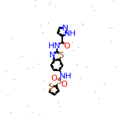 O=C(Nc1nc2ccc(NS(=O)(=O)c3cccs3)cc2s1)c1ccn[nH]1